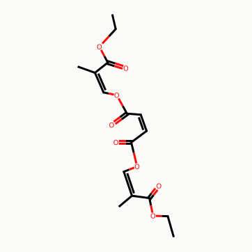 CCOC(=O)C(C)=COC(=O)/C=C\C(=O)OC=C(C)C(=O)OCC